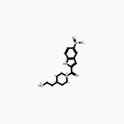 O=C(c1cc2cc([N+](=O)[O-])ccc2[nH]1)N1CCC(CCO)CC1